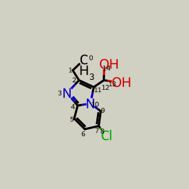 CCc1nc2ccc(Cl)cn2c1C(O)O